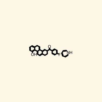 C1=CC=CNC=C1.O=C(c1ccc(F)cc1)C1C=c2c(ccc3c2=CCc2cccc(O)c2-3)CC1